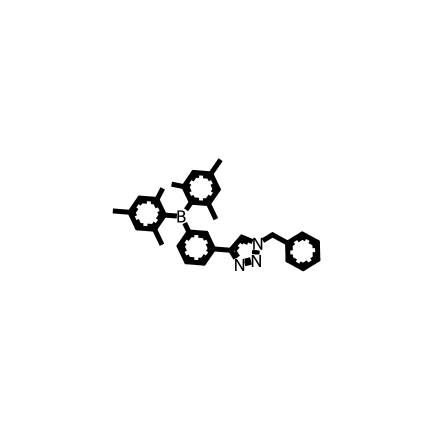 Cc1cc(C)c(B(c2cccc(-c3cn(Cc4ccccc4)nn3)c2)c2c(C)cc(C)cc2C)c(C)c1